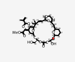 C=C(C)C(=O)O[C@H]1/C(=C/C(=O)OC)CC2C[C@H](CO)OC(=O)C[C@H](O)C[C@@H]3CCC[C@H](C[C@@H]4CCO[C@H](/C=C/C(C)(C)[C@]1(O)O2)O4)O3